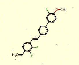 C=Cc1ccc(/C=C/c2ccc(-c3ccc(OC)c(F)c3)cc2)c(F)c1F